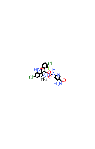 CC(C)(C)C[C@@H]1N[C@H](OC(=O)Nc2ccc(C(N)=O)cn2)[C@H](c2cccc(Cl)c2F)[C@]12C(=O)Nc1cc(Cl)ccc12